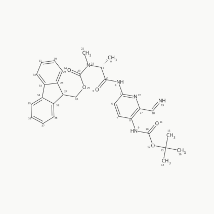 C[C@H](C(=O)Nc1ccc(NC(=O)OC(C)(C)C)c(C=N)n1)N(C)C(=O)OCC1c2ccccc2-c2ccccc21